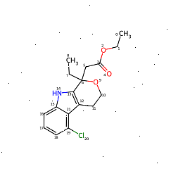 CCOC(=O)CC1(CC)OCCc2c1[nH]c1cccc(Cl)c21